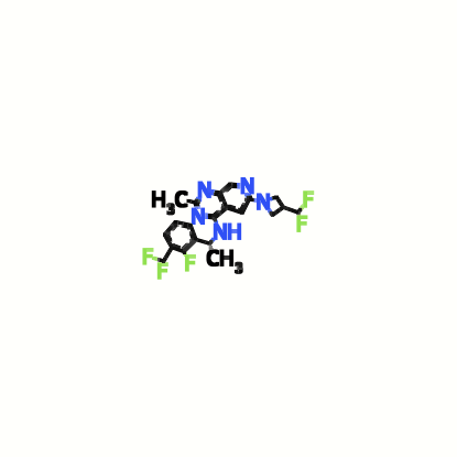 Cc1nc(N[C@H](C)c2cccc(C(F)F)c2F)c2cc(N3CC(C(F)F)C3)ncc2n1